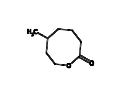 CC1CCCC(=O)OCC1